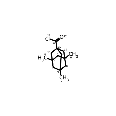 CC12CC3(C)CC(C)(C1)CC(C(=O)Cl)(C2)C3